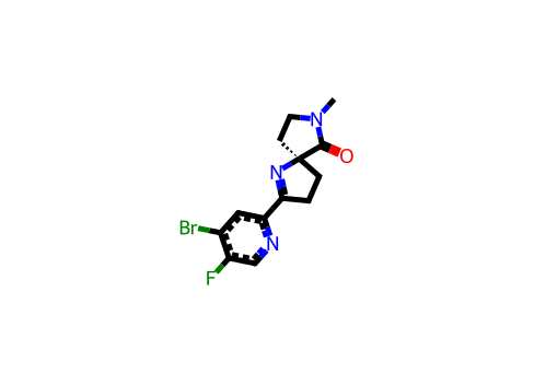 CN1CC[C@@]2(CCC(c3cc(Br)c(F)cn3)=N2)C1=O